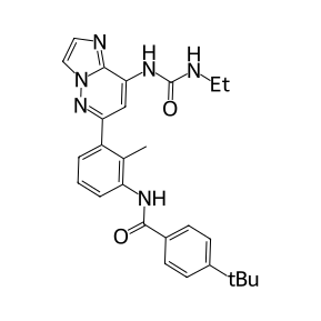 CCNC(=O)Nc1cc(-c2cccc(NC(=O)c3ccc(C(C)(C)C)cc3)c2C)nn2ccnc12